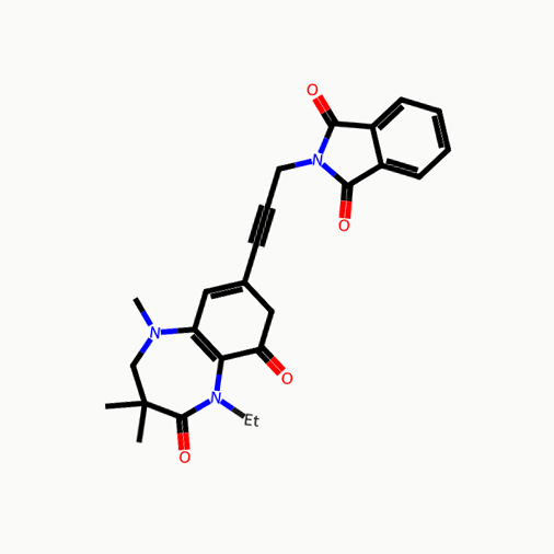 CCN1C(=O)C(C)(C)CN(C)C2=C1C(=O)CC(C#CCN1C(=O)c3ccccc3C1=O)=C2